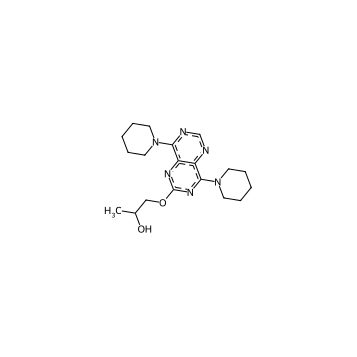 CC(O)COc1nc(N2CCCCC2)c2ncnc(N3CCCCC3)c2n1